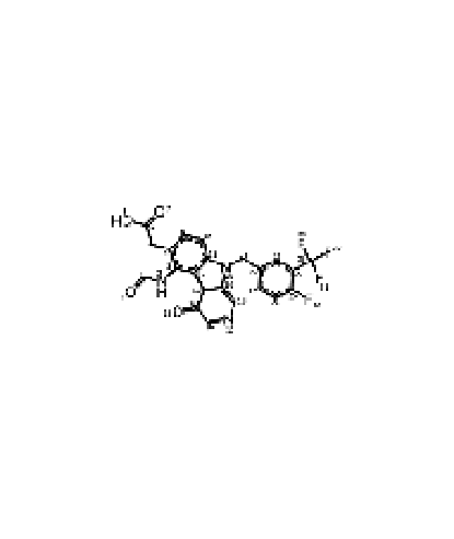 O=CNc1c(CC(=O)O)ccc2c1C1C(=O)C=NC=C1N2Cc1ccc(F)c(C(F)(F)F)c1